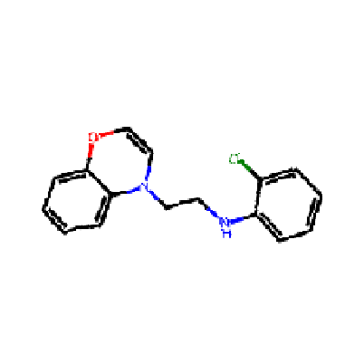 Clc1ccccc1NCCN1C=COc2ccccc21